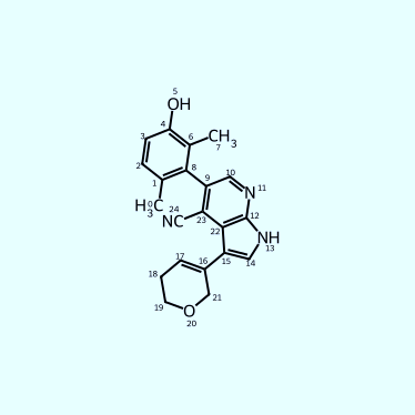 Cc1ccc(O)c(C)c1-c1cnc2[nH]cc(C3=CCCOC3)c2c1C#N